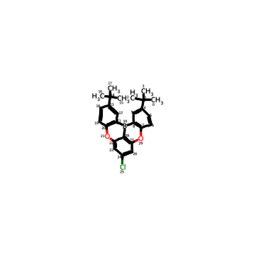 CC(C)(C)c1ccc2c(c1)B1c3cc(C(C)(C)C)ccc3Oc3cc(Cl)cc(c31)O2